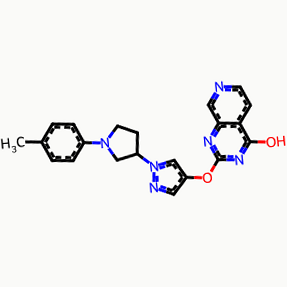 Cc1ccc(N2CCC(n3cc(Oc4nc(O)c5ccncc5n4)cn3)C2)cc1